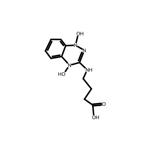 O=C(O)CCCNC1=NN(O)c2ccccc2N1O